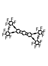 Fc1c(F)c(F)c(C#Cc2cc3c(cc2C#Cc2c(F)c(F)c(F)c(F)c2F)c2cc4c5cc(C#Cc6c(F)c(F)c(F)c(F)c6F)c(C#Cc6c(F)c(F)c(F)c(F)c6F)cc5c4cc32)c(F)c1F